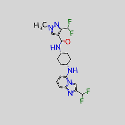 Cn1cc(C(=O)N[C@H]2CC[C@@H](Nc3cccc4nc(C(F)F)cn34)CC2)c(C(F)F)n1